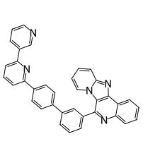 c1cncc(-c2cccc(-c3ccc(-c4cccc(-c5nc6ccccc6c6nc7ccccn7c56)c4)cc3)n2)c1